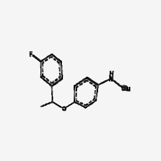 CC(Oc1ccc(NC(C)(C)C)cc1)c1cccc(F)c1